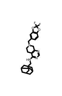 FC1(F)Oc2ccc(CN3CCc4c(ncnc4NCC45CC6CC(CC(C6)C4)C5)C3)cc2O1